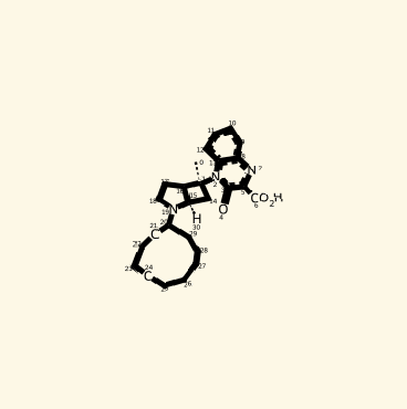 C[C@]1(n2c(=O)c(C(=O)O)nc3ccccc32)C[C@@H]2C1CCN2C1CCCCCCCCC1